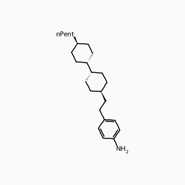 CCCCC[C@H]1CC[C@H]([C@H]2CC[C@H](CCc3ccc(N)cc3)CC2)CC1